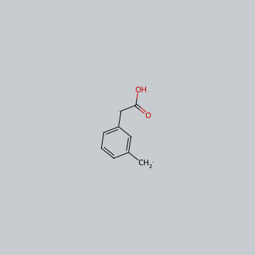 [CH2]c1cccc([CH]C(=O)O)c1